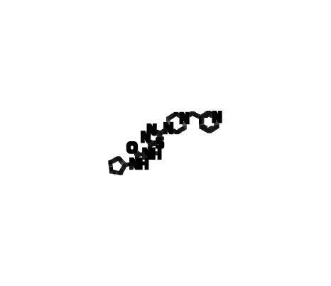 O=C(Nc1nnc(N2CCN(Cc3cccnc3)CC2)s1)NC1CCCC1